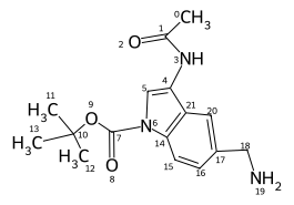 CC(=O)Nc1cn(C(=O)OC(C)(C)C)c2ccc(CN)cc12